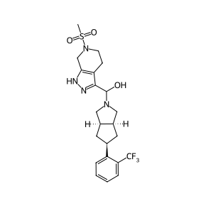 CS(=O)(=O)N1CCc2c(C(O)N3C[C@H]4C[C@@H](c5ccccc5C(F)(F)F)C[C@H]4C3)n[nH]c2C1